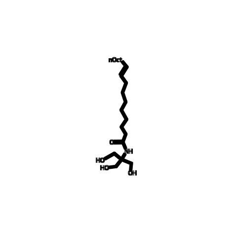 CCCCCCCCC=CCCCCCCCC(=O)NC(CO)(CO)CO